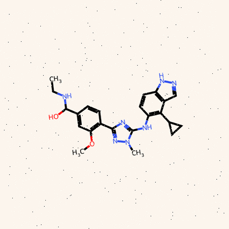 CCNC(O)c1ccc(-c2nc(Nc3ccc4[nH]ncc4c3C3CC3)n(C)n2)c(OC)c1